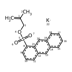 C=C(C)COS(=O)(=O)c1cccc2cc3ccccc3cc12.[K]